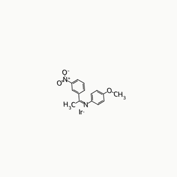 COc1ccc(N=C(C)c2cccc([N+](=O)[O-])c2)cc1.[Ir]